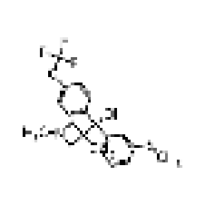 CSc1cccc([C@@](O)(c2ccc(OC(F)(F)F)cc2)C2(C)CN(C)C2)c1